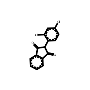 O=C1c2ccccc2C(=O)C1c1ccc(Cl)cc1Cl